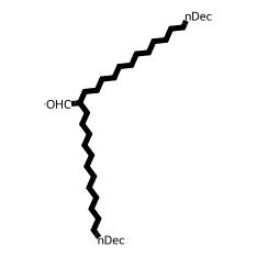 CCCCCCCCCCCCCCCCCCCCCCC([C]=O)CCCCCCCCCCCCCCCCCCCCCC